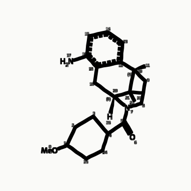 COC1CCC(C(=O)N2CC[C@@]3(C)c4cccc(N)c4C[C@@H]2C3(C)C)CC1